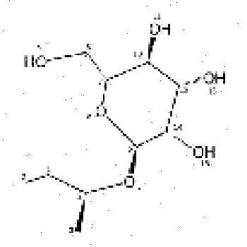 CC[C@H](C)O[C@H]1O[C@H](CO)[C@@H](O)[C@H](O)[C@@H]1O